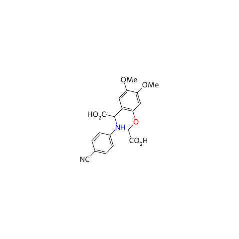 COc1cc(OCC(=O)O)c(C(Nc2ccc(C#N)cc2)C(=O)O)cc1OC